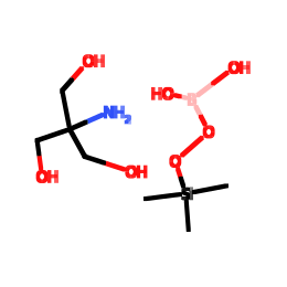 C[Si](C)(C)OOB(O)O.NC(CO)(CO)CO